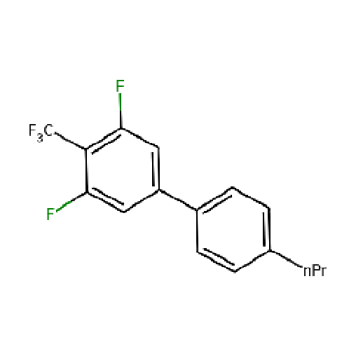 CCCc1ccc(-c2cc(F)c(C(F)(F)F)c(F)c2)cc1